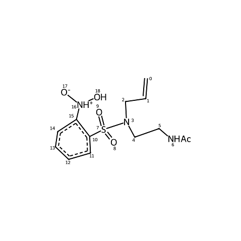 C=CCN(CCNC(C)=O)S(=O)(=O)c1ccccc1[NH+]([O-])O